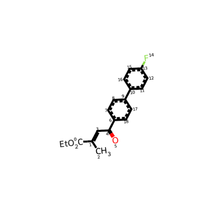 CCOC(=O)/C(C)=C/C(=O)c1ccc(-c2ccc(F)cc2)cc1